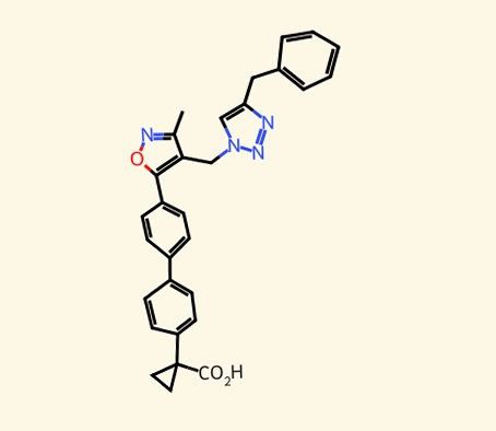 Cc1noc(-c2ccc(-c3ccc(C4(C(=O)O)CC4)cc3)cc2)c1Cn1cc(Cc2ccccc2)nn1